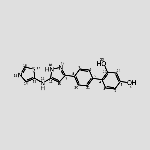 Oc1ccc(-c2ccc(-c3cc(Nc4cncs4)[nH]n3)cc2)c(O)c1